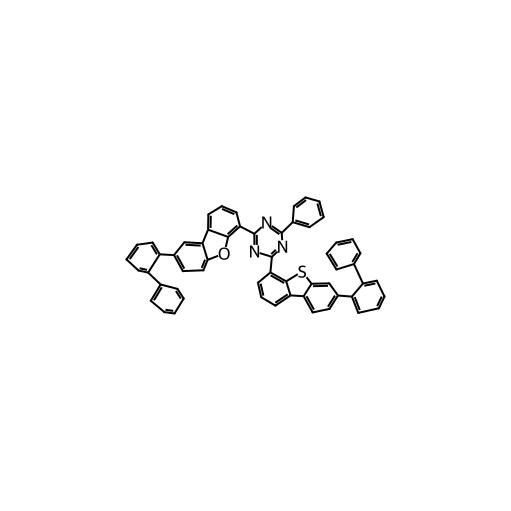 c1ccc(-c2nc(-c3cccc4c3oc3ccc(-c5ccccc5-c5ccccc5)cc34)nc(-c3cccc4c3sc3cc(-c5ccccc5-c5ccccc5)ccc34)n2)cc1